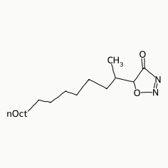 CCCCCCCCCCCCCCC(C)C1ON=NC1=O